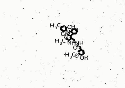 COc1cc(CC(=O)NCCc2c(N)c(C)nc3c2c2ccccc2n3-c2c(C)cc(C)cc2C)ccc1O